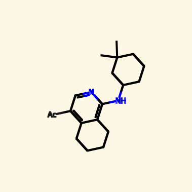 CC(=O)c1cnc(NC2CCCC(C)(C)C2)c2c1CCCC2